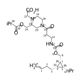 C=CCC[C@H]1[C@@H](CCC)[C@H]1COC(=O)NCCC(=O)N1CCN(CC(=O)O)C(COC(=O)C(C)C)C1